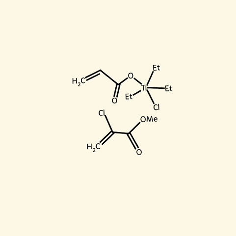 C=C(Cl)C(=O)OC.C=CC(=O)[O][Ti]([Cl])([CH2]C)([CH2]C)[CH2]C